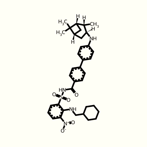 C[C@@H]1[C@@H](Nc2ccc(-c3ccc(C(=O)NS(=O)(=O)c4cccc([N+](=O)[O-])c4NCC4CCCCC4)cc3)cc2)C[C@H]2C[C@@H]1C2(C)C